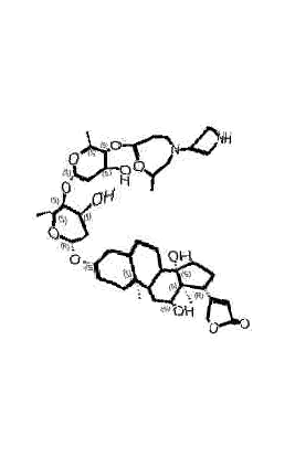 CC1CN(C2CNC2)CCC(O[C@@H]2[C@H](C)O[C@@H](O[C@@H]3[C@H](C)O[C@@H](O[C@H]4CC[C@@]5(C)C(CCC6C5C[C@H](O)[C@]5(C)[C@@H](C7=CC(=O)OC7)CC[C@]65O)C4)C[C@@H]3O)C[C@@H]2O)O1